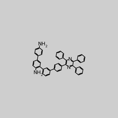 Nc1ccc(-c2ccc(N)c(-c3cccc(-c4ccc(-c5nc(-c6ccccc6)c(-c6ccccc6)nc5-c5ccccc5)cc4)c3)c2)cc1